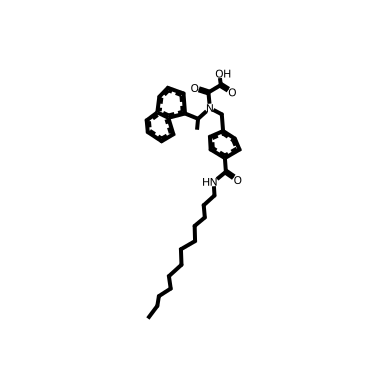 CCCCCCCCCCCCNC(=O)c1ccc(CN(C(=O)C(=O)O)C(C)c2cccc3ccccc23)cc1